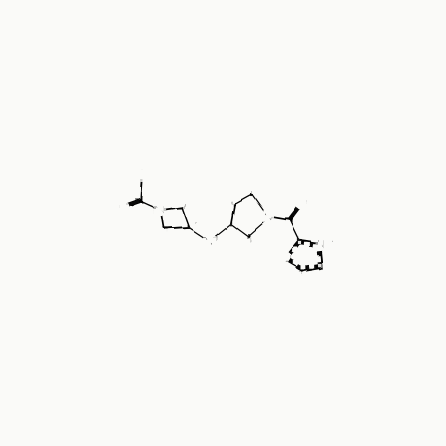 O=C(O)N1CC(NC2CCN(C(=O)c3nccs3)C2)C1